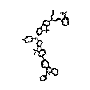 C=C/C=C(\C=C\c1ccccc1N(C)C)c1ccc2c(c1)C(C)(C)c1cc(N(c3ccc(C)cc3)c3ccc4c(c3)C(C)(C)c3cc(-c5ccc6c(c5)c5ccccc5n6-c5ccccc5)ccc3-4)ccc1-2